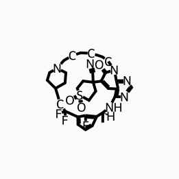 C[C@@H]1Nc2ncnc3c2cc(C2(C#N)CCS(=O)(=O)CC2)c(=O)n3CCCCCCN2CCC(CC2)CC(F)(F)c2cccc1c2F